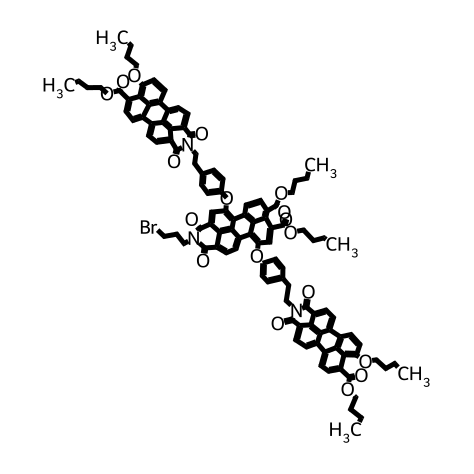 CCCCOC(=O)c1ccc2c3ccc4c5c(ccc(c6ccc(OCCCC)c1c62)c53)C(=O)N(CCc1ccc(Oc2cc(C(=O)OCCCC)c3c(C(=O)OCCCC)ccc5c6c(Oc7ccc(CCN8C(=O)c9ccc%10c%11ccc(OCCCC)c%12c(C(=O)OCCCC)ccc(c%13ccc(c9c%10%13)C8=O)c%12%11)cc7)cc7c8c(ccc(c2c35)c86)C(=O)N(CCCBr)C7=O)cc1)C4=O